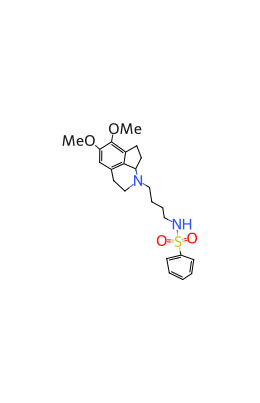 COc1cc2c3c(c1OC)CCC3N(CCCCNS(=O)(=O)c1ccccc1)CC2